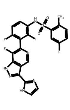 Cc1ccc(F)cc1S(=O)(=O)Nc1ccc(F)c(-c2ncc3c(-c4ncc[nH]4)n[nH]c3c2F)c1F